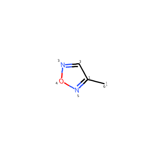 [C]c1cnon1